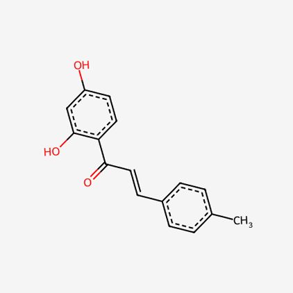 Cc1ccc(/C=C/C(=O)c2ccc(O)cc2O)cc1